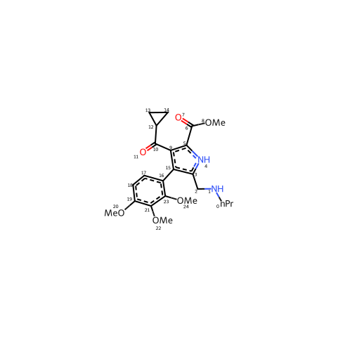 CCCNCc1[nH]c(C(=O)OC)c(C(=O)C2CC2)c1-c1ccc(OC)c(OC)c1OC